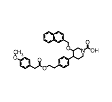 COc1ccc(CC(=O)OCCc2ccc(C3CCN(C(=O)O)CC3OCc3ccc4ccccc4c3)cc2)cc1